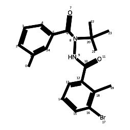 Cc1cccc(C(=O)N(NC(=O)c2cccc(Br)c2C)C(C)(C)C)c1